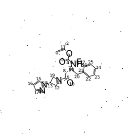 C=C(C)OC(=O)N[C@@H](CC(=O)N1CC(n2cccn2)C1)Cc1ccccc1F